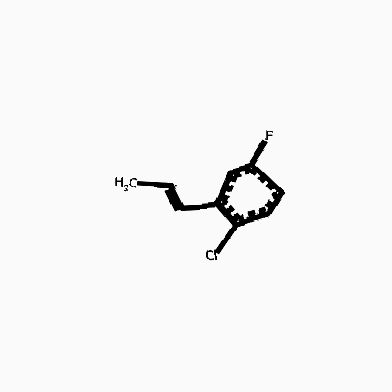 C[C]=Cc1cc(F)ccc1Cl